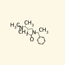 C[C@H]([C@@H]1CC(=O)N([C@H](C)c2ccccc2)C1)N(C)C